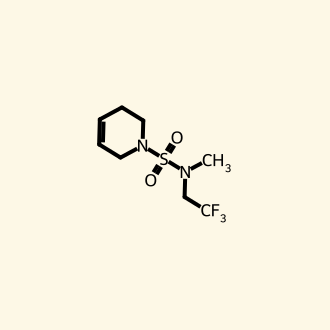 CN(CC(F)(F)F)S(=O)(=O)N1CC=CCC1